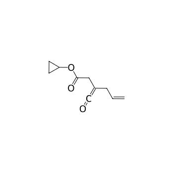 C=CCC(=C=O)CC(=O)OC1CC1